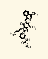 C/C=C/Cn1c(N2CCC[C@@H](NC(=O)OC(C)(C)C)C2)nc2c1c(=O)n(Cc1ncc(C)c3ccccc13)c(=O)n2C